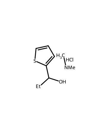 CCC(O)c1cccs1.CNC.Cl